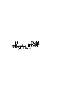 C=C/C(=C\C=C\OC1CN(C(=O)Cn2cncn2)C1)CCBO